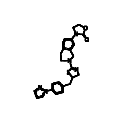 O=C1OCCN1c1ccc2c(c1)CN(C1=NCC(Cc3ccc(-n4cccn4)cc3)S1)CC2